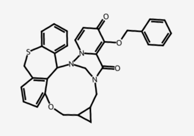 O=C1c2c(OCc3ccccc3)c(=O)ccn2N2CN1CC1CC1COc1cccc3c1C2c1ccccc1SC3